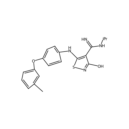 Cc1cccc(Oc2ccc(Nc3snc(O)c3C(=N)NC(C)C)cc2)c1